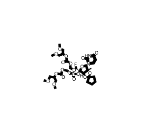 COCC(COC)OC(=O)OCOP(=O)(OCOC(=O)OC(COC)COC)O[C@@]1(CF)O[C@@H](n2ccc(=O)[nH]c2=O)[C@]2(C)OC3(CCCC3)O[C@H]12